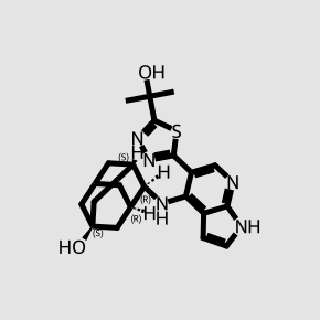 CC(C)(O)c1nnc(-c2cnc3[nH]ccc3c2N[C@H]2[C@@H]3CC4C[C@H]2C[C@@](O)(C4)C3)s1